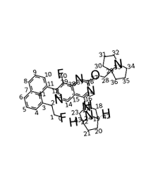 FCCc1cccc2cccc(-c3ncc4c(N5C[C@H]6CC[C@@H](C5)N6)nc(OCC56CCCN5CCC6)nc4c3F)c12